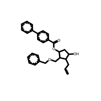 C=CCC1C(O)CC(OC(=O)c2ccc(-c3ccccc3)cc2)C1COCc1ccccc1